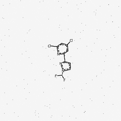 FC(F)n1ccc(-c2cc(Cl)cc(Cl)n2)n1